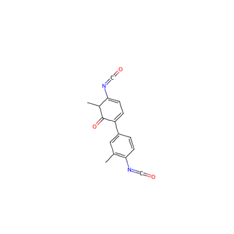 Cc1cc(C2=CC=C(N=C=O)C(C)C2=O)ccc1N=C=O